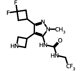 Cn1nc(C2CC(F)(F)C2)c(C2CNC2)c1NC(=O)NCC(F)(F)F